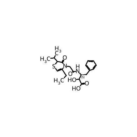 CCC1=CSC(C(C)C)C(=O)N1CC(=O)N[C@@H](Cc1ccccc1)C(O)C(=O)O